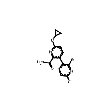 NC(=O)c1nc(OC2CC2)ccc1-c1ncc(Cl)nc1Br